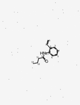 C=Cc1ccccc1NC(=O)CCC